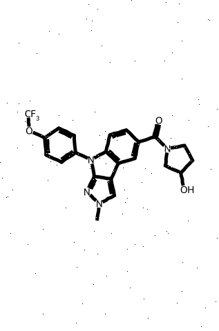 Cn1cc2c3cc(C(=O)N4CCC(O)C4)ccc3n(-c3ccc(OC(F)(F)F)cc3)c2n1